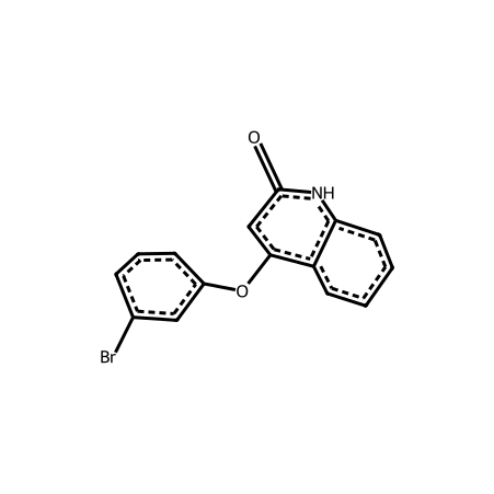 O=c1cc(Oc2cccc(Br)c2)c2ccccc2[nH]1